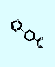 CCCCC(=O)[C@H]1CC[C@H](c2cnccn2)CC1